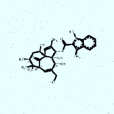 CC1=CC23C(=O)[C@@H](C=C(CO)[C@@H](O)[C@]2(O)[C@H]1OC(=O)c1c(C)c2ccccc2n1C)C(C)(C)[C@@H](C)CC3C